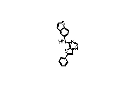 c1ccc(-c2cc3ncnc(Nc4ccc5sccc5c4)c3s2)cc1